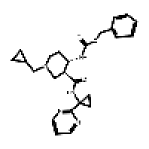 O=C(N[C@H]1CCN(CC2CC2)C[C@@H]1C(=O)NC1(c2ncccn2)CC1)OCc1ccccc1